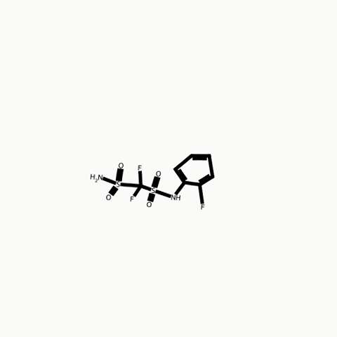 NS(=O)(=O)C(F)(F)S(=O)(=O)Nc1ccccc1F